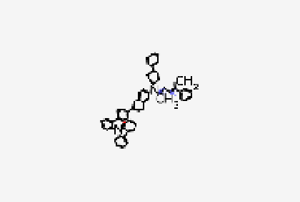 C=C/C(=C\C=C(/C)N(c1ccc(-c2ccccc2)cc1)c1ccc2cc(-c3ccc(-c4ccccc4-n4c5ccccc5c5ccccc54)cc3)ccc2c1)c1ccccc1